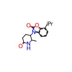 CC(C)c1cccc2c1oc(=O)n2C1CCC(=O)NC1C